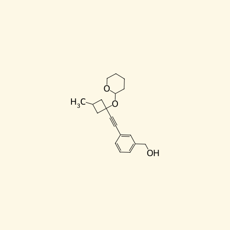 CC1CC(C#Cc2cccc(CO)c2)(OC2CCCCO2)C1